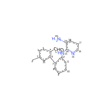 Cc1ccc(C=O)c(-c2ccccc2Nc2ncccc2N)c1